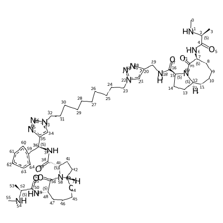 CN[C@@H](C)C(=O)N[C@H]1CCCC[C@H]2CC[C@@H](C(=O)NCc3cn(CCCCCCCCCCn4cc([C@@H](NC(=O)[C@@H]5CC[C@@H]6CCCC[C@H](NC(=O)[C@H](C)NC)C(=O)N65)c5ccccc5)nn4)nn3)N2C1=O